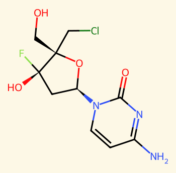 Nc1ccn([C@H]2C[C@](O)(F)[C@](CO)(CCl)O2)c(=O)n1